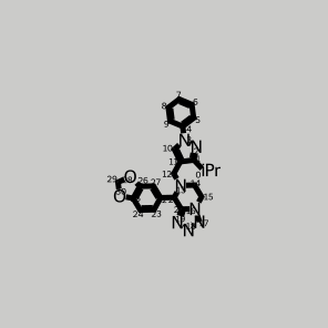 CC(C)c1nn(-c2ccccc2)cc1CN1CCn2nnnc2C1c1ccc2c(c1)OCO2